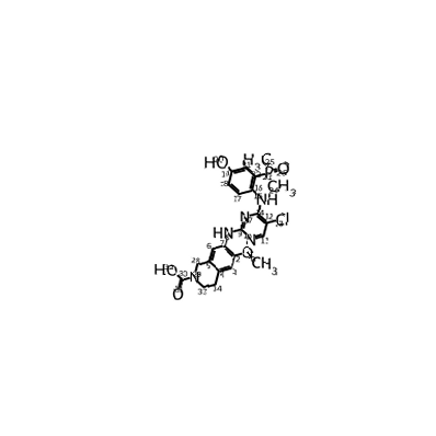 COc1cc2c(cc1Nc1ncc(Cl)c(Nc3ccc(O)cc3P(C)(C)=O)n1)CN(C(=O)O)CC2